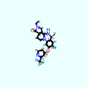 CCN1Cc2c(ccnc2N[C@@H](C)c2ccc(Oc3ccnc(C(F)(F)F)c3)c(F)c2)C1=O